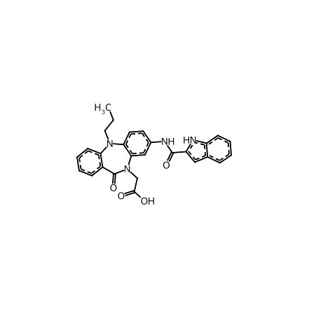 CCCN1c2ccccc2C(=O)N(CC(=O)O)c2cc(NC(=O)c3cc4ccccc4[nH]3)ccc21